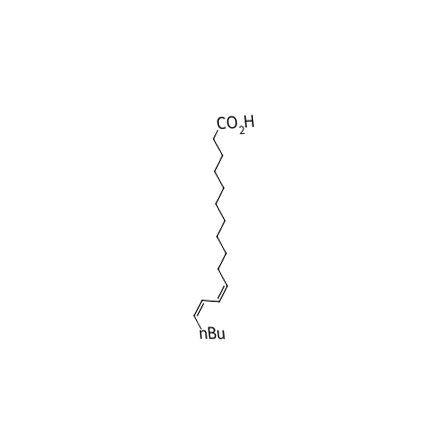 CCCC/C=C\C=C/CCCCCCCCCC(=O)O